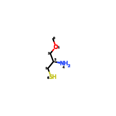 COC[C@@H](N)CS